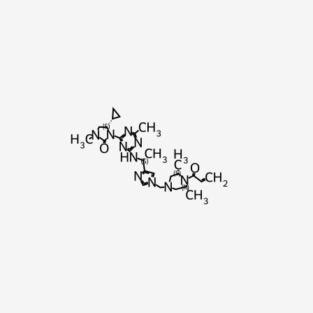 C=CC(=O)N1[C@H](C)CN(Cn2cnc([C@H](C)Nc3nc(C)nc(N4C(=O)N(C)C[C@@H]4C4CC4)n3)c2)C[C@@H]1C